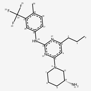 CCCc1cc(N2CCC[C@@H](N)C2)nc(Nc2ccc(C)c(C(F)(F)F)c2)n1